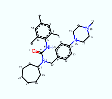 Cc1cc(C)c(NC(=O)N(Cc2ccc(N3CCN(C)CC3)cc2)C2CCCCCC2)c(C)c1